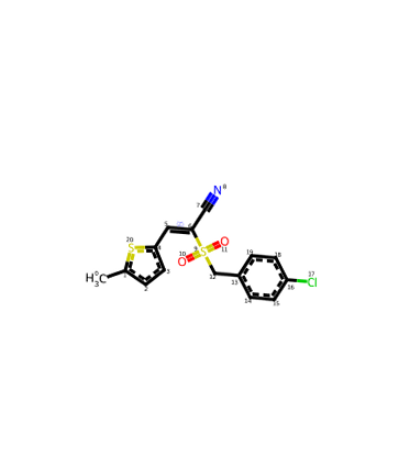 Cc1ccc(/C=C(/C#N)S(=O)(=O)Cc2ccc(Cl)cc2)s1